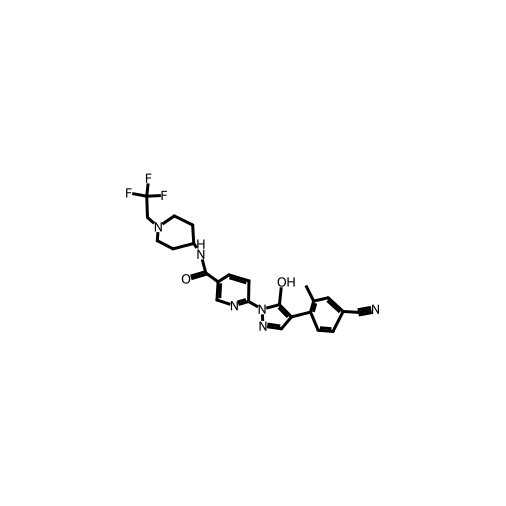 Cc1cc(C#N)ccc1-c1cnn(-c2ccc(C(=O)NC3CCN(CC(F)(F)F)CC3)cn2)c1O